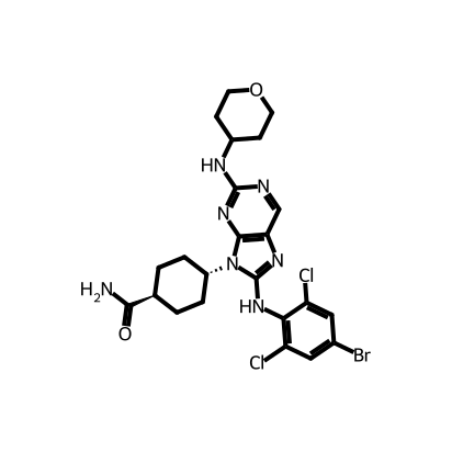 NC(=O)[C@H]1CC[C@H](n2c(Nc3c(Cl)cc(Br)cc3Cl)nc3cnc(NC4CCOCC4)nc32)CC1